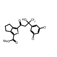 COC(=O)c1sc(C(=O)CC(O)(c2cc(Cl)cc(Cl)c2)C(F)(F)F)c2c1CCC2